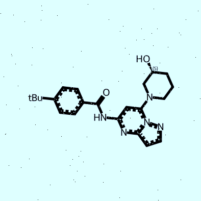 CC(C)(C)c1ccc(C(=O)Nc2cc(N3CCC[C@H](O)C3)n3nccc3n2)cc1